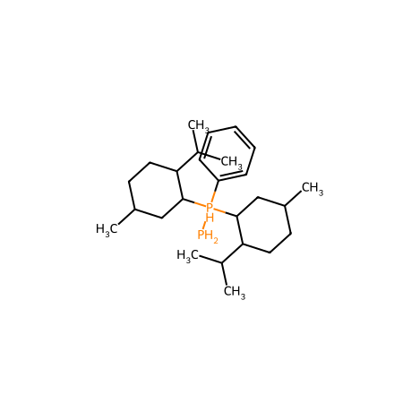 CC1CCC(C(C)C)C([PH](P)(c2ccccc2)C2CC(C)CCC2C(C)C)C1